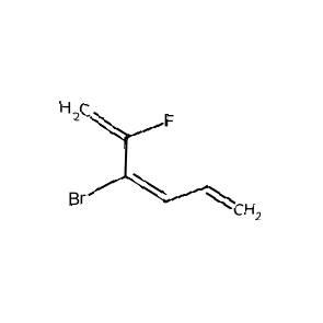 C=C/C=C(/Br)C(=C)F